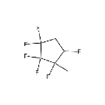 CC1(F)C(F)CC(F)(F)C1(F)F